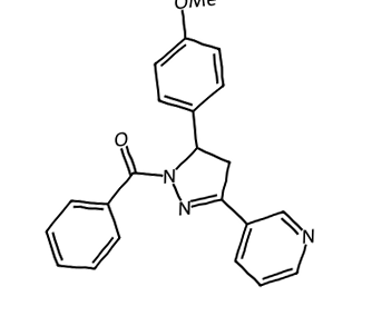 COc1ccc(C2CC(c3cccnc3)=NN2C(=O)c2ccccc2)cc1